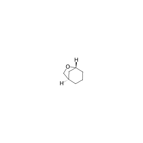 C1C[C@H]2CO[C@H](C1)C2